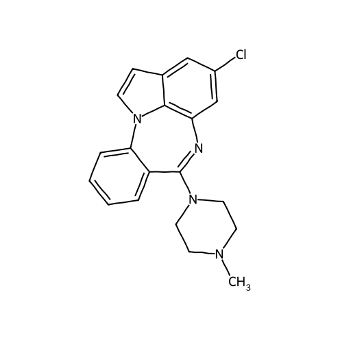 CN1CCN(C2=Nc3cc(Cl)cc4ccn(c34)-c3ccccc32)CC1